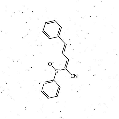 N#C/C(=C/C=C/c1ccccc1)[S+]([O-])c1ccccc1